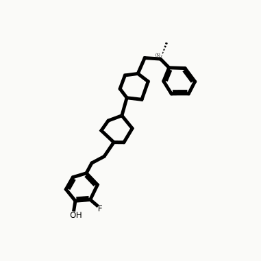 C[C@@H](CC1CCC(C2CCC(CCc3ccc(O)c(F)c3)CC2)CC1)c1ccccc1